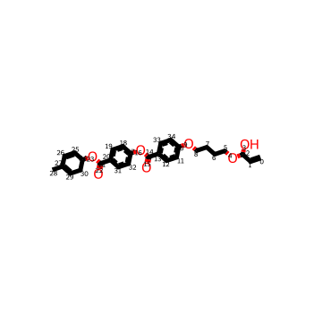 C=CC(O)OCCCCOc1ccc(C(=O)Oc2ccc(C(=O)OC3C=CC(C)=CC3)cc2)cc1